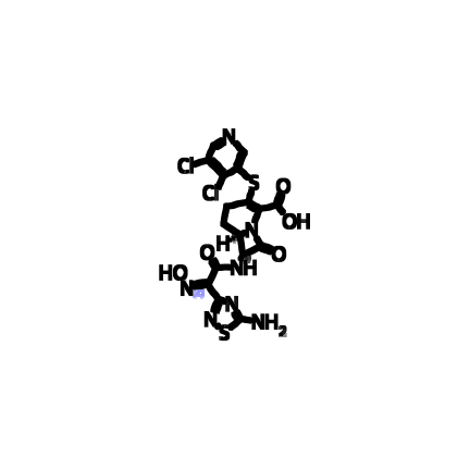 Nc1nc(/C(=N/O)C(=O)N[C@@H]2C(=O)N3C(C(=O)O)=C(Sc4cncc(Cl)c4Cl)CC[C@H]23)ns1